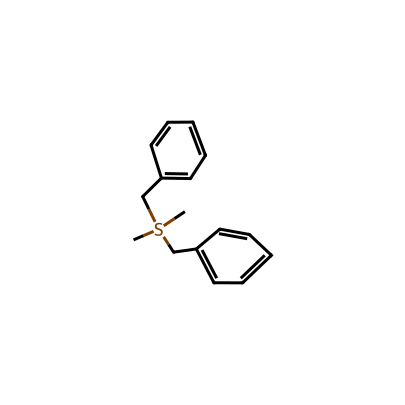 CS(C)(Cc1ccccc1)Cc1ccccc1